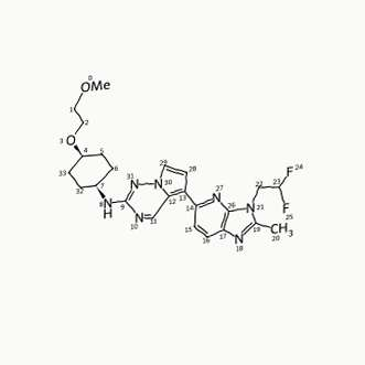 COCCO[C@H]1CC[C@@H](Nc2ncc3c(-c4ccc5nc(C)n(CC(F)F)c5n4)ccn3n2)CC1